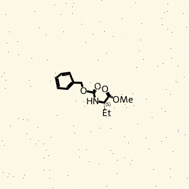 [CH2]C[C@H](NC(=O)OCc1ccccc1)C(=O)OC